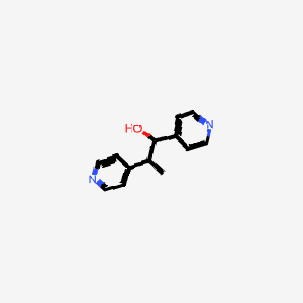 CC(c1ccncc1)C(O)c1ccncc1